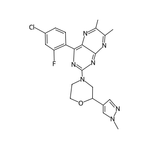 Cc1nc2nc(N3CCOC(c4cnn(C)c4)C3)nc(-c3ccc(Cl)cc3F)c2nc1C